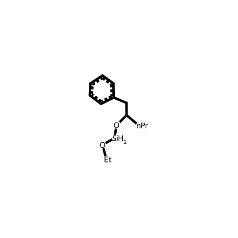 CCCC(Cc1ccccc1)O[SiH2]OCC